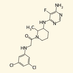 CC1C(Nc2ncnc(N)c2F)CCCN1C(=O)CNc1cc(Cl)cc(Cl)c1